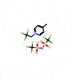 Cc1cc[n+](CC(F)(F)F)cc1.O=S(=O)([N-]S(=O)(=O)C(F)(F)F)C(F)(F)F